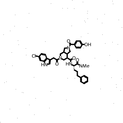 CNC(=O)[C@H](CCCc1ccccc1)NC(=O)C1CN(C(=O)Cc2c[nH]c3cc(Cl)ccc23)CC2CN(C(=O)c3ccc(O)cc3)CC21